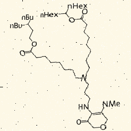 CCCCCCC(CCCCCC)OC(=O)CCCCCCCN(CCCCCCCC(=O)OCCC(CCCC)CCCC)CCCNC1=C(NC)COCC1=O